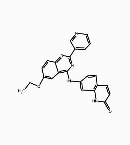 CCOc1ccc2nc(-c3cccnc3)nc(Nc3ccc4ccc(=O)[nH]c4c3)c2c1